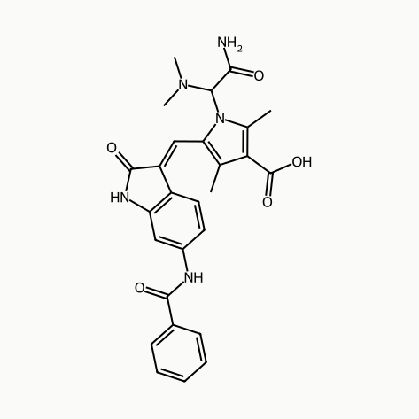 Cc1c(C(=O)O)c(C)n(C(C(N)=O)N(C)C)c1C=C1C(=O)Nc2cc(NC(=O)c3ccccc3)ccc21